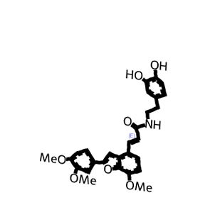 COc1ccc(-c2cc3c(/C=C/C(=O)NCCc4ccc(O)c(O)c4)ccc(OC)c3o2)cc1OC